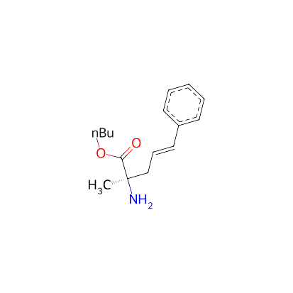 CCCCOC(=O)[C@](C)(N)C/C=C/c1ccccc1